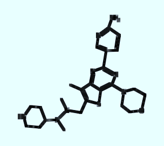 Cc1c(CN(C)N(C)C2CCNCC2)sc2c(N3CCOCC3)nc(-c3ccc(N)nc3)nc12